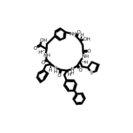 O=C1C[C@@H](O)C(=O)Nc2ccc(cc2)C[C@H](C(=O)O)NC(=O)[C@@H](Cc2ccccc2)NC(=O)[C@@H](Cc2ccc(-c3ccccc3)cc2)NC(=O)[C@H](CC2CC=CS2)N1